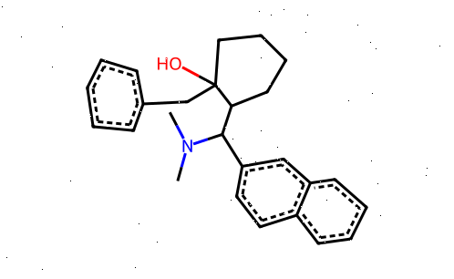 CN(C)C(c1ccc2ccccc2c1)C1CCCCC1(O)Cc1ccccc1